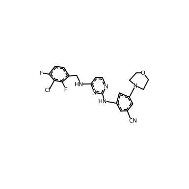 N#Cc1cc(Nc2nccc(NCc3ccc(F)c(Cl)c3F)n2)cc(N2CCOCC2)c1